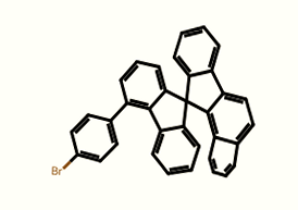 Brc1ccc(-c2cccc3c2-c2ccccc2C32c3ccccc3-c3ccc4ccccc4c32)cc1